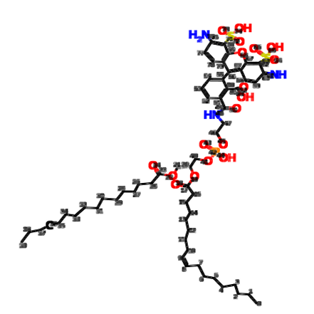 CCCCCCCC/C=C\CCCCCCCC(=O)O[C@H](COC(=O)CCCCCCCCCCCCCCC)COP(=O)(O)OCCNC(=O)c1cccc(-c2c3ccc(=N)c(S(=O)(=O)O)c-3oc3c(S(=O)(=O)O)c(N)ccc23)c1C(=O)O